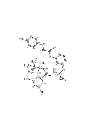 C[C@H](Cc1cccc(CC(=O)NCc2ccc(F)cc2)c1)NC[C@H](O[Si](C)(C)C(C)(C)C)c1cc(O)cc(O)c1